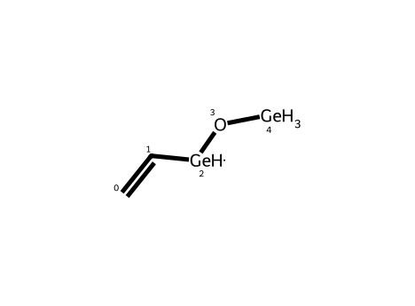 C=[CH][GeH][O][GeH3]